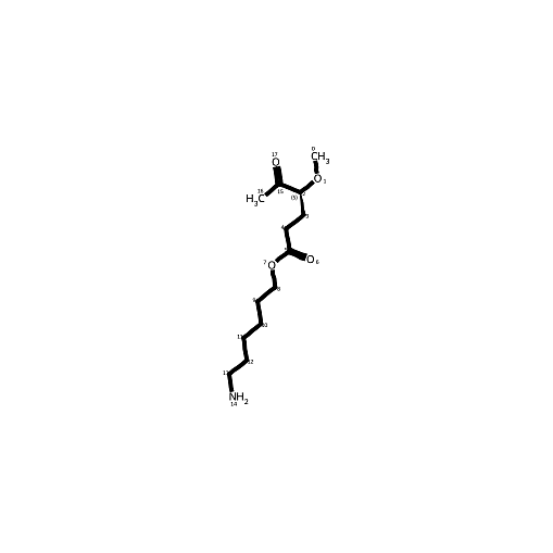 CO[C@@H](CCC(=O)OCCCCCCN)C(C)=O